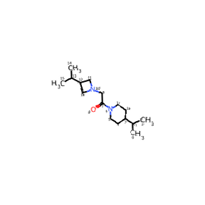 CC(C)C1CCN(C(=O)CN2CC(C(C)C)C2)CC1